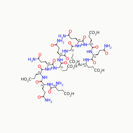 CC(=O)[C@H](CCC(=O)O)NC(=O)[C@H](CCC(N)=O)NC(=O)[C@H](CCC(=O)O)NC(=O)[C@H](CCC(N)=O)NC(=O)[C@H](CCC(=O)O)NC(=O)[C@H](CCC(N)=O)NC(=O)[C@H](CCC(=O)O)NC(=O)[C@H](CCC(N)=O)NC(=O)[C@H](CCC(=O)O)NC(=O)[C@H](CCC(N)=O)NC(=O)[C@@H](N)CCC(=O)O